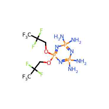 NP1(N)=NP(N)(N)=NP(OCC(F)(F)C(F)(F)F)(OCC(F)(F)C(F)(F)F)=N1